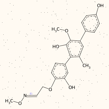 CO/N=C/COc1ccc(-c2c(C)cc(-c3ccc(O)cc3)c(OC)c2O)cc1O